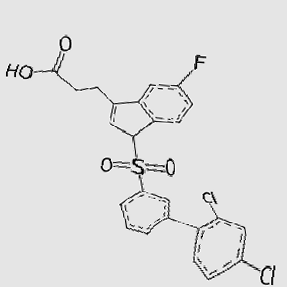 O=C(O)CCC1=CC(S(=O)(=O)c2cccc(-c3ccc(Cl)cc3Cl)c2)c2ccc(F)cc21